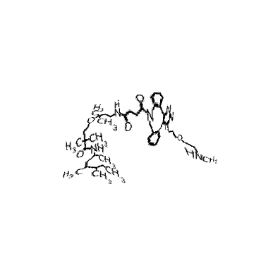 CCC(C)C(C)CC(C)NC(=O)C(C)(C)CCOC(C)(C)CCNC(=O)CCC(=O)N1Cc2ccccc2-c2c(nnn2CCCOCCNC)-c2ccccc21